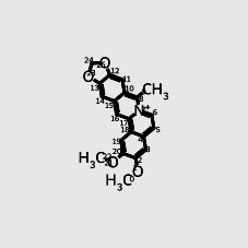 COc1cc2cc[n+]3c(C)c4cc5c(cc4cc3c2cc1OC)OCO5